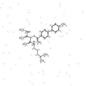 C=C(CC(C(=C)NC)C(=C)NCCCC(C)C)c1ccc(-c2ccc(C)cc2)cc1